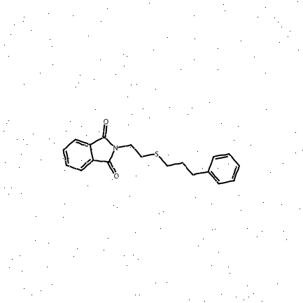 O=C1c2ccccc2C(=O)N1CCSCCCc1ccccc1